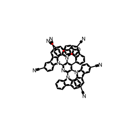 N#Cc1ccc2c(c1)c1cc(C#N)ccc1n2-c1nc(-n2c3ccccc3c3ccccc32)c(-n2c3ccc(C#N)cc3c3cc(C#N)ccc32)c(-c2cccc3oc4ccccc4c23)c1-n1c2ccc(C#N)cc2c2cc(C#N)ccc21